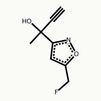 C#CC(C)(O)c1cc(CF)on1